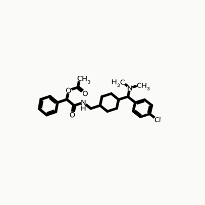 CC(=O)OC(C(=O)NCC1CCC(C(c2ccc(Cl)cc2)N(C)C)CC1)c1ccccc1